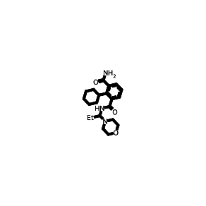 CCC(NC(=O)c1cccc(C(N)=O)c1C1CCCCC1)N1CCOCC1